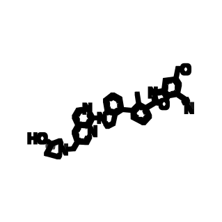 Cc1c(-c2nc3cc(C=O)cc(C#N)c3o2)cccc1-c1cccc2c1CCN2c1nccc2cc(CN3CC[C@@H](O)C3)cnc12